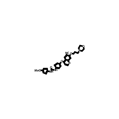 [C-]#[N+]c1cc2c(Oc3ccc(NC(=O)Nc4ccc(OC)cc4)cc3)ccnc2cc1OCCCN1CCOCC1